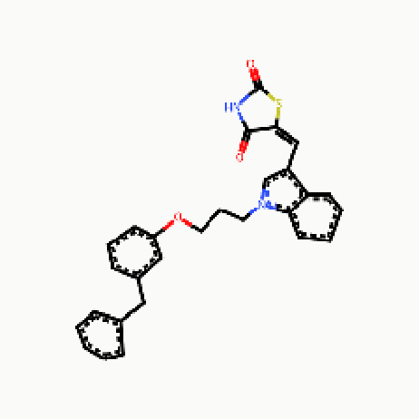 O=C1NC(=O)C(=Cc2cn(CCCOc3cccc(Cc4ccccc4)c3)c3ccccc23)S1